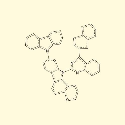 c1ccc2cc(-c3nc(-n4c5cc(-n6c7ccccc7c7ccccc76)ccc5c5ccc6ccccc6c54)nc4ccccc34)ccc2c1